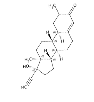 C#C[C@]1(O)CC[C@H]2[C@@H]3CCC4=CC(=O)C(C)C[C@@H]4[C@H]3CC[C@@]21C